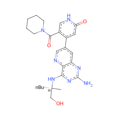 CCCC[C@](C)(CO)Nc1nc(N)nc2cc(-c3cc(=O)[nH]cc3C(=O)N3CCCCC3)cnc12